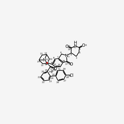 O=C1CCC(N2Cc3cc(CN4C5CC4CN(C(=O)c4ccccc4-c4ccc(Cl)cc4)C5)c(F)cc3C2=O)C(=O)N1